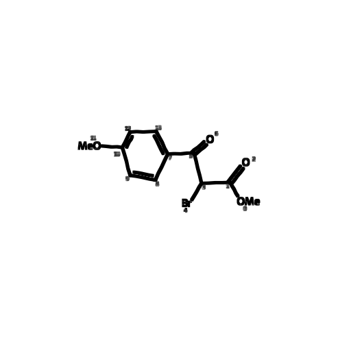 COC(=O)C(Br)C(=O)c1ccc(OC)cc1